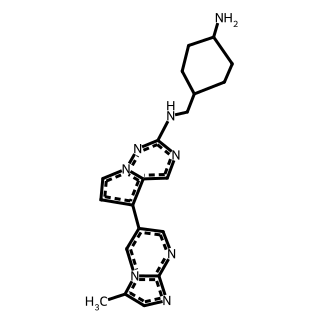 Cc1cnc2ncc(-c3ccn4nc(NCC5CCC(N)CC5)ncc34)cn12